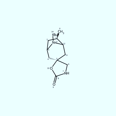 C[C@@H]1CC2C[C@@]3(CNC(=O)O3)CC1N2C(C)(C)C